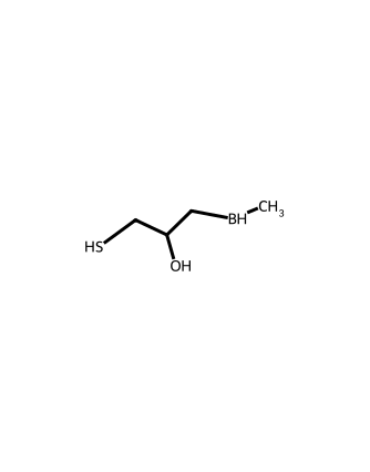 CBCC(O)CS